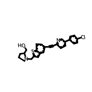 OCC1CCCN1Cc1cc2cc(C#Cc3ccc(-c4ccc(Cl)cc4)cn3)ccc2s1